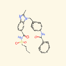 CCCCS(=O)(=O)NC(=O)c1ccc2nc(C)n(Cc3ccc(NC(=O)c4ccccc4)cc3)c2c1